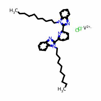 CCCCCCCCCCn1c(-c2cccc(-c3nc4ccccc4n3CCCCCCCCCC)n2)nc2ccccc21.[Cl-].[Cl-].[V+2]